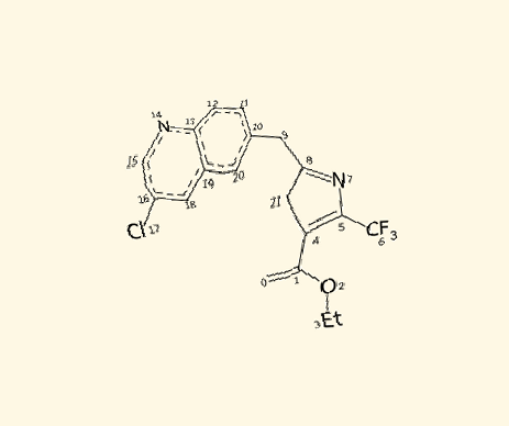 C=C(OCC)C1=C(C(F)(F)F)N=C(Cc2ccc3ncc(Cl)cc3c2)C1